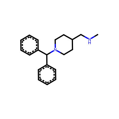 CNCC1CCN(C(c2ccccc2)c2ccccc2)CC1